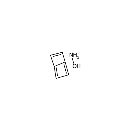 NO.c1cc2ccc1-2